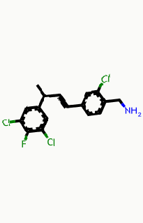 CC(/C=C/c1ccc(CN)c(Cl)c1)c1cc(Cl)c(F)c(Cl)c1